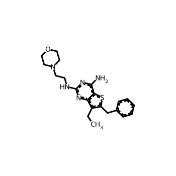 CCc1c(Cc2ccccc2)sc2c(N)nc(NCCN3CCOCC3)nc12